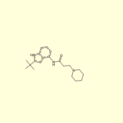 CC(C)(C)c1cc2c(NC(=O)CCN3CCCCC3)cccc2[nH]1